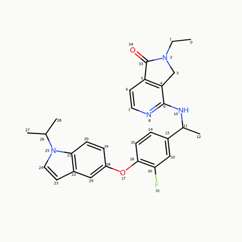 CCN1Cc2c(ccnc2NC(C)c2ccc(Oc3ccc4c(ccn4C(C)C)c3)c(F)c2)C1=O